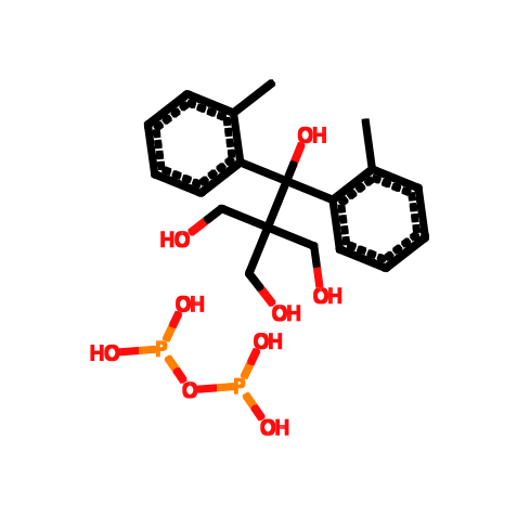 Cc1ccccc1C(O)(c1ccccc1C)C(CO)(CO)CO.OP(O)OP(O)O